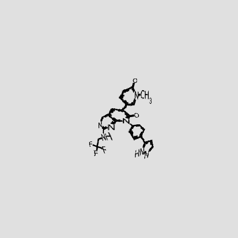 Cn1cc(-c2cc3cnc(NCC(F)(F)F)nc3n(-c3ccc(-c4ccn[nH]4)cc3)c2=O)ccc1=O